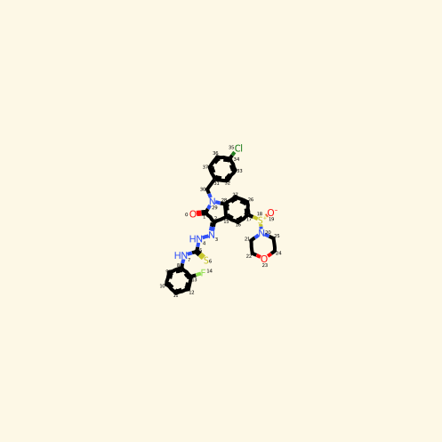 O=C1/C(=N\NC(=S)Nc2ccccc2F)c2cc([S+]([O-])N3CCOCC3)ccc2N1Cc1ccc(Cl)cc1